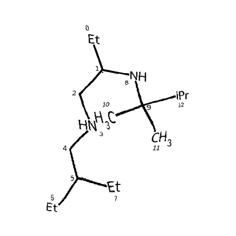 CC[C](CNCC(CC)CC)NC(C)(C)C(C)C